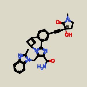 Cc1nc2ccccc2n1Cc1c(C(N)=O)nc2n1C1C=C(C1)c1ccc(C#C[C@]3(O)CCN(C)C3=O)cc1-2